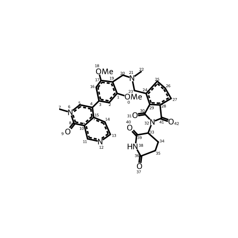 COc1cc(-c2cn(C)c(=O)c3cnccc23)cc(OC)c1CN(C)Cc1cccc2c1C(=O)N(C1CCC(=O)NC1=O)C2=O